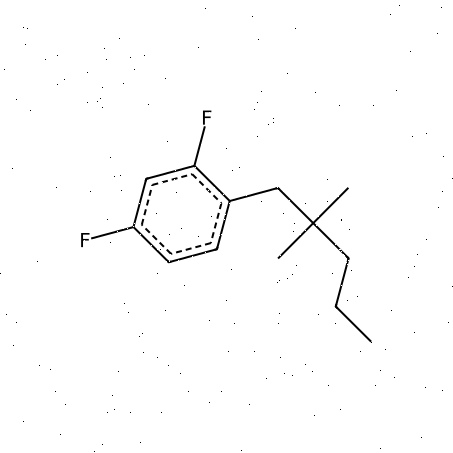 CCCC(C)(C)Cc1ccc(F)cc1F